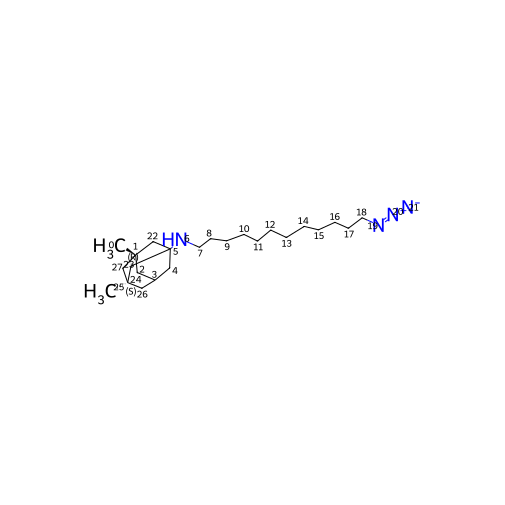 C[C@]12CC3CC(NCCCCCCCCCCCCN=[N+]=[N-])(C1)C[C@@](C)(C3)C2